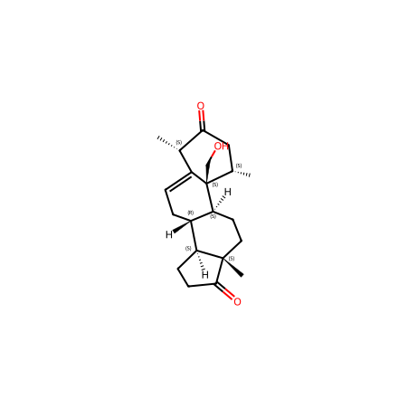 C[C@@H]1C(=O)C[C@H](C)[C@@]2(CO)C1=CC[C@@H]1[C@@H]2CC[C@]2(C)C(=O)CC[C@@H]12